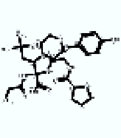 CCC(=O)N[C@@](NC(=O)[C@H](Cc1ccc(O)cc1)NC(=O)[C@@H]1CCCN1)(C(=O)O)C(CC(C)(C)C)N1CCOCC1